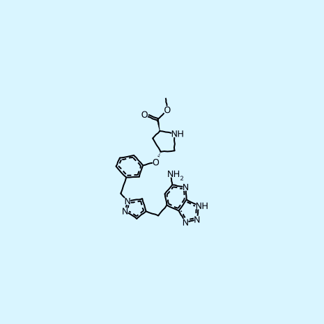 COC(=O)[C@@H]1C[C@@H](Oc2cccc(Cn3cc(Cc4cc(N)nc5[nH]nnc45)cn3)c2)CN1